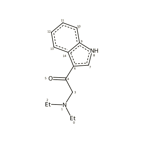 CCN(CC)CC(=O)c1c[nH]c2[c]cccc12